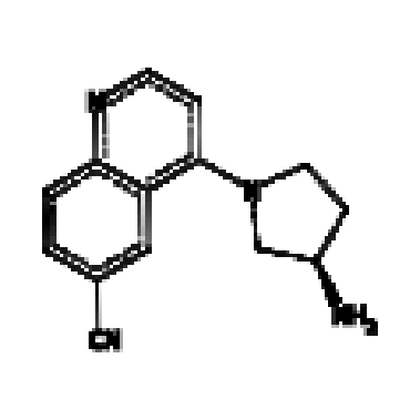 N#Cc1ccc2nccc(N3CC[C@@H](N)C3)c2c1